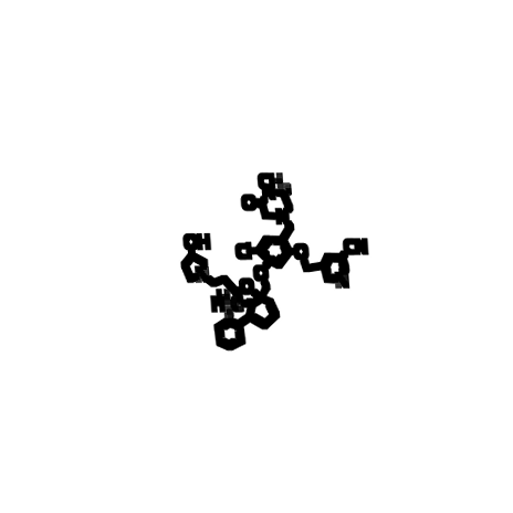 CN1CCN(Cc2cc(Cl)c(OC[C@@]3(OCCCN4CCC(O)C4)C=CC=C(c4ccccc4)C3(C)C)cc2OCc2cncc(C#N)c2)CC1=O